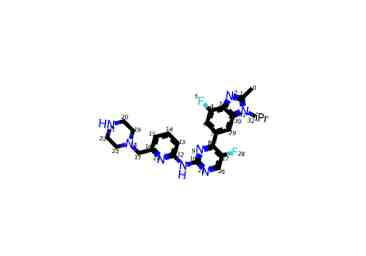 Cc1nc2c(F)cc(-c3nc(Nc4cccc(CN5CCNCC5)n4)ncc3F)cc2n1C(C)C